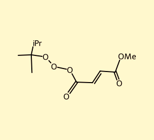 COC(=O)C=CC(=O)OOOC(C)(C)C(C)C